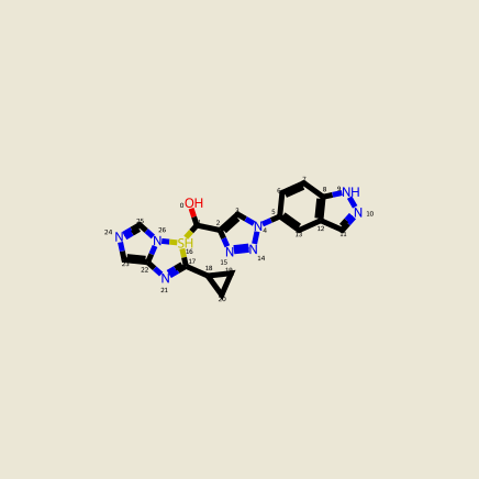 OC(c1cn(-c2ccc3[nH]ncc3c2)nn1)[SH]1C(C2CC2)=Nc2cncn21